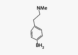 Bc1ccc(CCNC)cc1